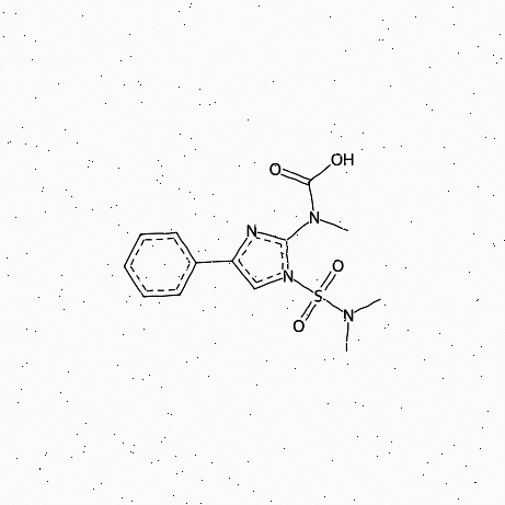 CN(C(=O)O)c1nc(-c2ccccc2)cn1S(=O)(=O)N(C)C